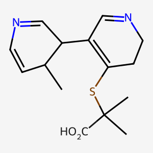 CC1C=CN=CC1C1=C(SC(C)(C)C(=O)O)CCN=C1